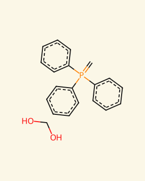 C=P(c1ccccc1)(c1ccccc1)c1ccccc1.OCO